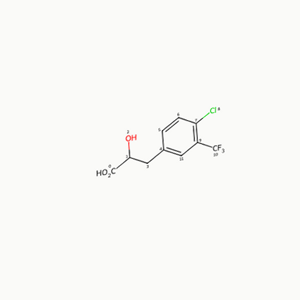 O=C(O)C(O)Cc1ccc(Cl)c(C(F)(F)F)c1